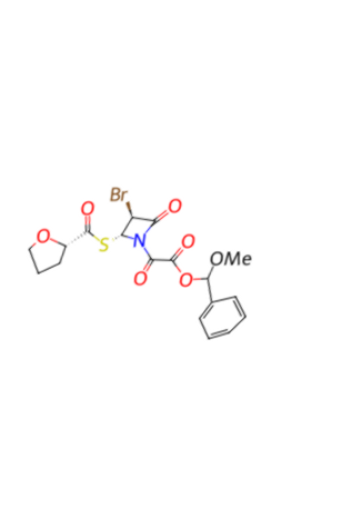 COC(OC(=O)C(=O)N1C(=O)[C@H](Br)[C@H]1SC(=O)[C@@H]1CCCO1)c1ccccc1